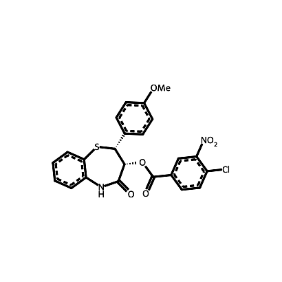 COc1ccc([C@H]2Sc3ccccc3NC(=O)[C@H]2OC(=O)c2ccc(Cl)c([N+](=O)[O-])c2)cc1